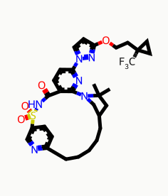 CC1(C)CC2CCCCCc3ccc(cn3)S(=O)(=O)NC(=O)c3ccc(-n4ccc(OCCC5(C(F)(F)F)CC5)n4)nc3N1C2